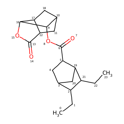 CCC1C2CC(C(=O)OC3C4CC5C(=O)OC3C5C4)C(C2)C1CC